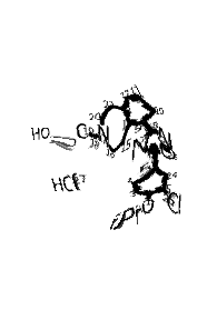 CC(C)Oc1ccc(-c2nc(-c3cccc4c3CCN(CC(=O)O)CC4)no2)cc1Cl.Cl